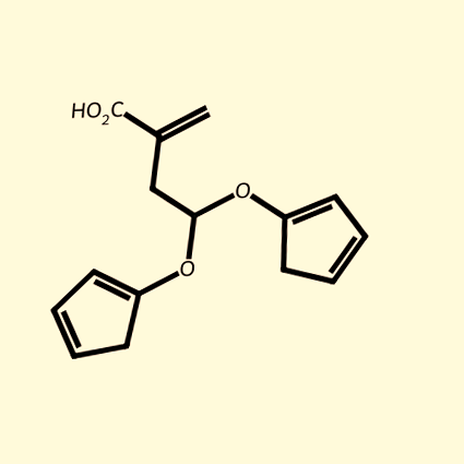 C=C(CC(OC1=CC=CC1)OC1=CC=CC1)C(=O)O